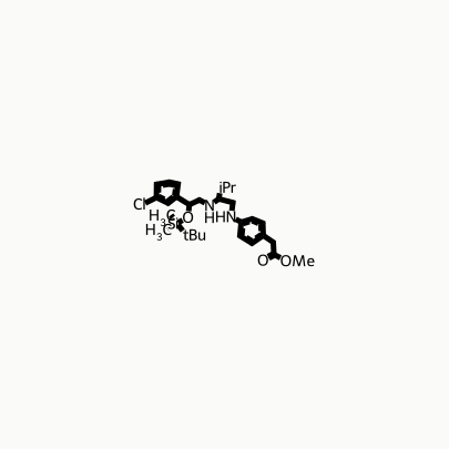 COC(=O)Cc1ccc(NCC(NCC(O[Si](C)(C)C(C)(C)C)c2cccc(Cl)c2)C(C)C)cc1